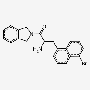 NC(Cc1cccc2c(Br)cccc12)C(=O)N1Cc2ccccc2C1